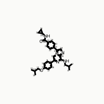 CC(C)CNc1nc(-c2ccc(OCC(C)C)cc2)cn2c(-c3ccc(C(=O)NC4CC4)cc3)cnc12